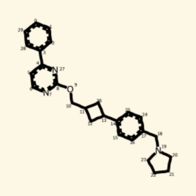 c1ccc(-c2ccnc(OCC3CC(c4ccc(CN5CCCC5)cc4)C3)n2)cc1